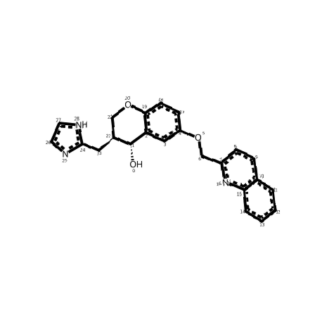 O[C@H]1c2cc(OCc3ccc4ccccc4n3)ccc2OC[C@@H]1Cc1ncc[nH]1